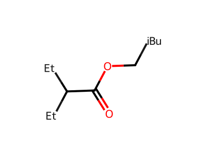 CCC(C)COC(=O)C(CC)CC